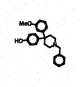 COc1cccc(C2(c3ccc(O)cc3)CCN(Cc3ccccc3)CC2)c1